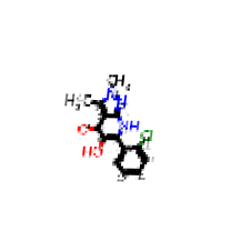 Cc1c2c(=O)c(O)c(-c3ccccc3Cl)[nH]c2nn1C